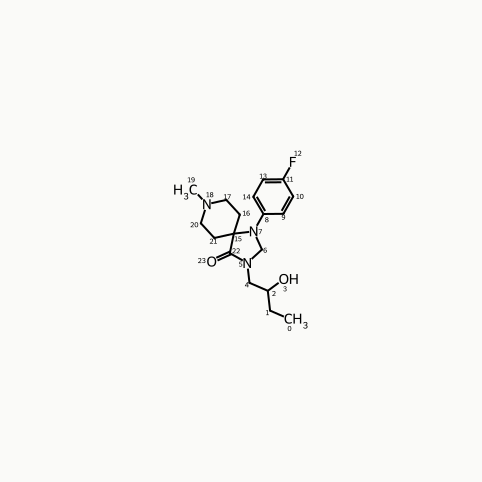 CCC(O)CN1CN(c2ccc(F)cc2)C2(CCN(C)CC2)C1=O